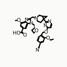 CCOc1cc(C#N)ccc1COc1ccnc(C23CCN(Cc4nc5c(OC)cc(C(=O)O)cc5n4C[C@@H]4CCO4)CC2C3)n1